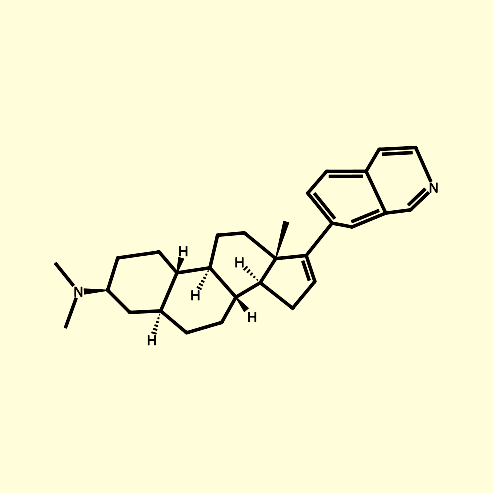 CN(C)[C@H]1CC[C@H]2[C@@H](CC[C@@H]3[C@@H]2CC[C@]2(C)C(c4ccc5ccncc5c4)=CC[C@@H]32)C1